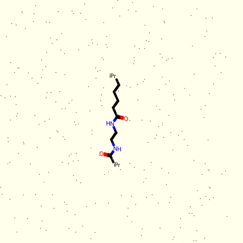 CC(C)CCCCC(=O)NCCNC(=O)C(C)C